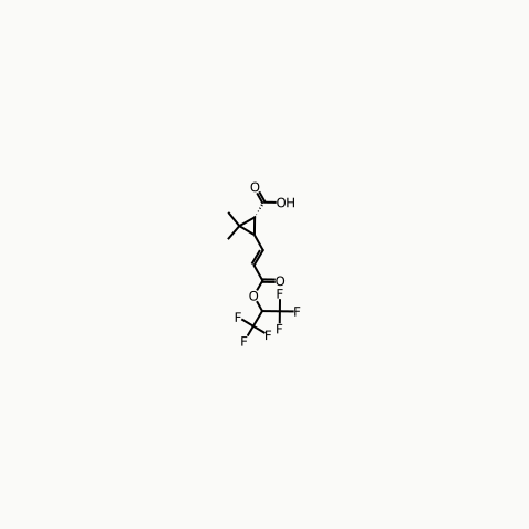 CC1(C)C(C=CC(=O)OC(C(F)(F)F)C(F)(F)F)[C@H]1C(=O)O